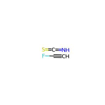 C#CF.N=C=S